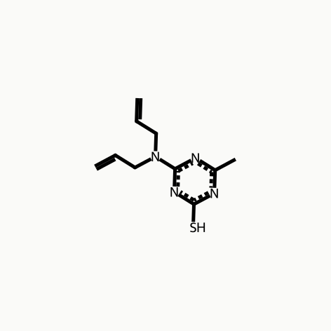 C=CCN(CC=C)c1nc(C)nc(S)n1